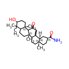 CC1(C)C(O)CC[C@@]2(C)C1CC[C@@]1(C)C3CC[C@@]4(C)CC[C@H](C(N)=O)C[C@H]4C3=CC(=O)C12